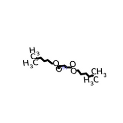 CC(C)CCCCOC(=O)/C=C/C(=O)OCCCCC(C)C